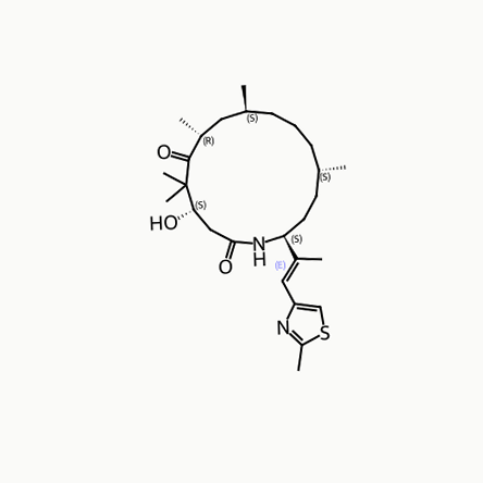 C/C(=C\c1csc(C)n1)[C@@H]1CC[C@@H](C)CCC[C@H](C)C[C@@H](C)C(=O)C(C)(C)[C@@H](O)CC(=O)N1